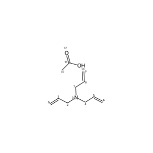 C=CCN(CC=C)CC=C.CC(=O)O